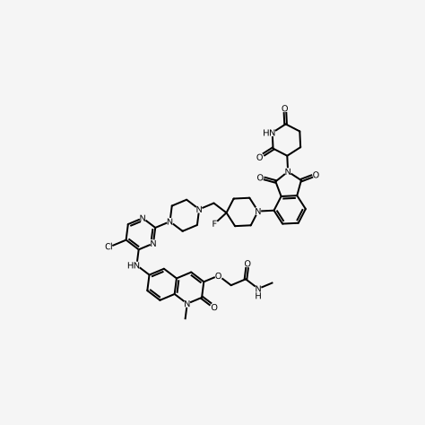 CNC(=O)COc1cc2cc(Nc3nc(N4CCN(CC5(F)CCN(c6cccc7c6C(=O)N(C6CCC(=O)NC6=O)C7=O)CC5)CC4)ncc3Cl)ccc2n(C)c1=O